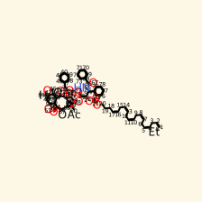 CC/C=C\C/C=C\C/C=C\C/C=C\C/C=C\C/C=C\CCCOC(=O)O[C@@H](C(=O)O[C@H]1C[C@@]2(O)[C@@H](OC(=O)c3ccccc3)[C@@H]3[C@]4(OC(C)=O)CO[C@@H]4C[C@H](O)[C@@]3(C)C(=O)[C@H](OC(C)=O)C(=C1C)C2(C)C)[C@@H](NC(=O)c1ccccc1)c1ccccc1